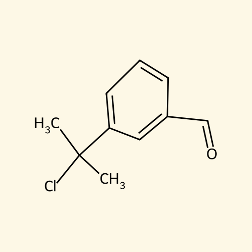 CC(C)(Cl)c1cccc(C=O)c1